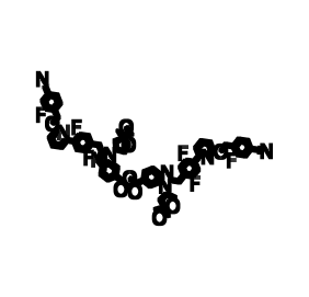 N#Cc1ccc(COc2cccc(-c3cc(F)c(Cc4nc5ccc(C(=O)OC(=O)c6ccc7nc(Cc8cc(F)c(-c9cccc(OCc%10ccc(C#N)cc%10F)n9)cc8F)n(C8COC9(COC9)C8)c7c6)cc5n4C4COC5(COC5)C4)cc3F)n2)c(F)c1